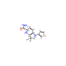 CC1(C)CN(c2ccsc2)c2ccc(C(N)=O)nc21